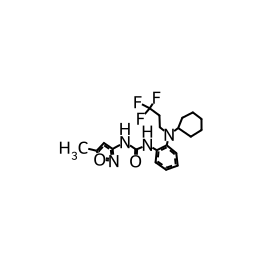 Cc1cc(NC(=O)Nc2ccccc2N(CCC(F)(F)F)C2CCCCC2)no1